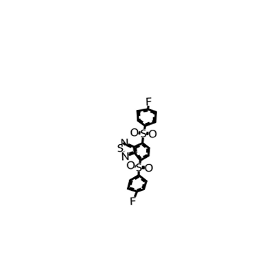 O=S(=O)(c1ccc(F)cc1)c1ccc(S(=O)(=O)c2ccc(F)cc2)c2nsnc12